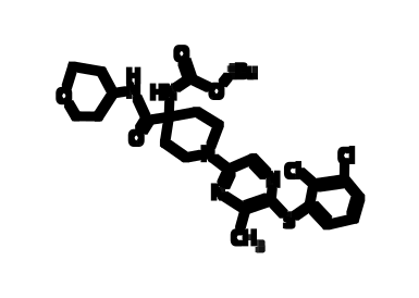 Cc1nc(N2CCC(NC(=O)OC(C)(C)C)(C(=O)NC3CCOCC3)CC2)cnc1Sc1cccc(Cl)c1Cl